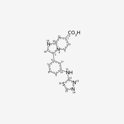 O=C(O)c1ccn2c(-c3cccc(Nc4nncs4)c3)cnc2c1